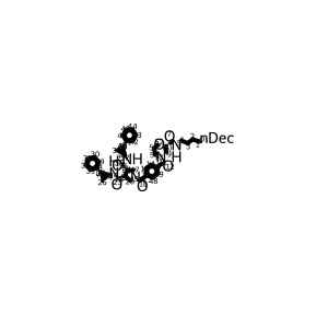 CCCCCCCCCCCCCCNC(=O)[C@@H]1CN(C(=O)c2ccc(C(=O)N3C[C@@H](C(=O)N[C@H]4C[C@@H]4c4ccccc4)[C@H](C(=O)N[C@H]4C[C@@H]4c4ccccc4)C3)cc2)CCO1